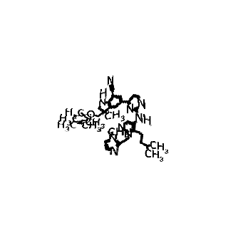 CC(C)CCc1c(Nc2nccc(-c3cc(C#N)c4c(c3)[C@@](C)(CO[Si](C)(C)C(C)(C)C)CN4)n2)cnn1Cc1nccn1C